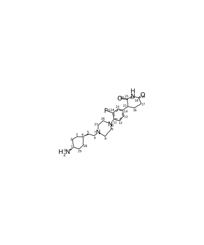 N[C@H]1CC[C@@H](CCN2CCN(c3ccc(C4CCC(=O)NC4=O)cc3F)CC2)CC1